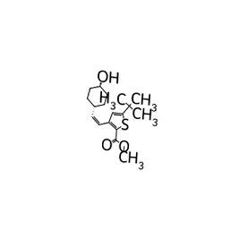 COC(=O)c1sc(C(C)(C)C)cc1/C=C\[C@H]1CC[C@H](O)CC1